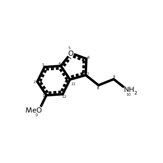 COc1ccc2occ(CCN)c2c1